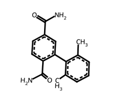 Cc1cccc(C)c1-c1cc(C(N)=O)ccc1C(N)=O